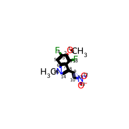 COc1c(F)cc2c(c(/C=C/[N+](=O)[O-])cn2C)c1F